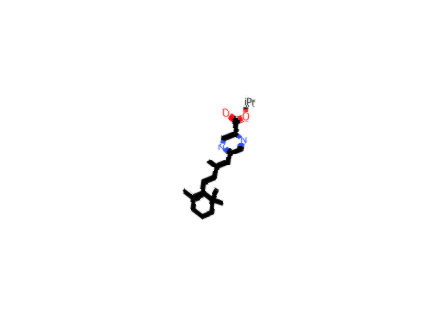 CC1=C(C=C/C(C)=C/c2cnc(C(=O)OC(C)C)cn2)C(C)(C)CCC1